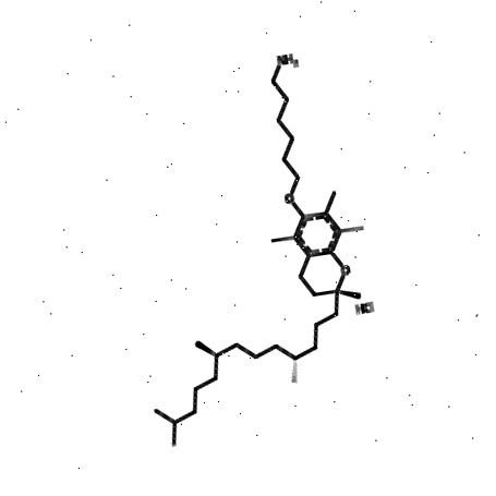 Cc1c(C)c2c(c(C)c1OCCCCCCN)CC[C@@](C)(CCC[C@H](C)CCC[C@H](C)CCCC(C)C)O2.Cl